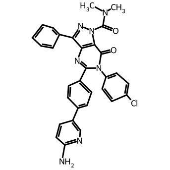 CN(C)C(=O)n1nc(-c2ccccc2)c2nc(-c3ccc(-c4ccc(N)nc4)cc3)n(-c3ccc(Cl)cc3)c(=O)c21